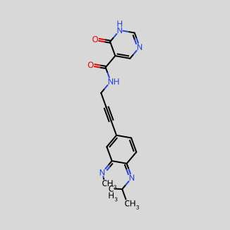 C/N=C1/C=C(C#CCNC(=O)c2cnc[nH]c2=O)C=C/C1=N/C(C)C